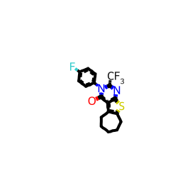 O=c1c2c3c(sc2nc(C(F)(F)F)n1-c1ccc(F)cc1)CCCCC3